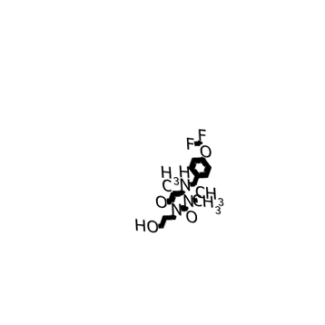 Cc1c(NC(C)c2ccc(OC(F)F)cc2)n(C)c(=O)n(CCCO)c1=O